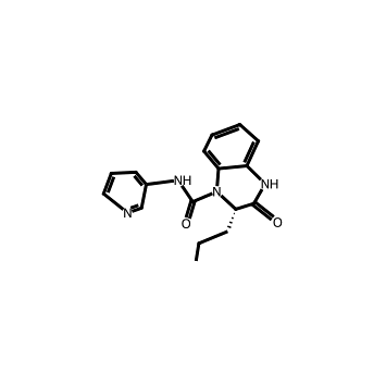 CCC[C@H]1C(=O)Nc2ccccc2N1C(=O)Nc1cccnc1